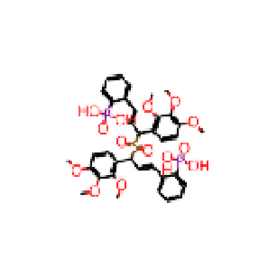 COc1ccc(C(C=Cc2ccccc2P(=O)(O)O)S(=O)(=O)C(C=Cc2ccccc2P(=O)(O)O)c2ccc(OC)c(OC)c2OC)c(OC)c1OC